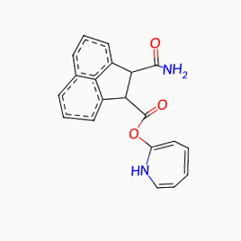 NC(=O)C1c2cccc3cccc(c23)C1C(=O)OC1=CC=CC=CN1